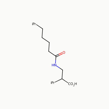 CC(C)CCCCC(=O)NCC(C(=O)O)C(C)C